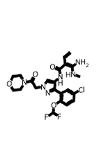 C=C/C(C(=O)Nc1cn(CC(=O)N2CCOCC2)nc1-c1cc(Cl)ccc1OC(F)F)=C(\N)NC